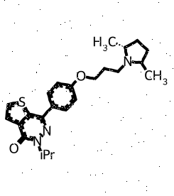 CC1CC[C@@H](C)N1CCCOc1ccc(-c2nn(C(C)C)c(=O)c3ccsc23)cc1